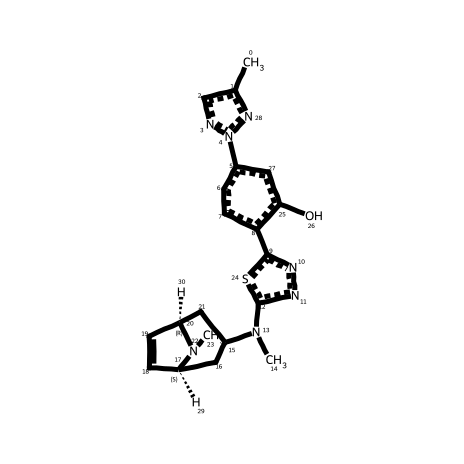 Cc1cnn(-c2ccc(-c3nnc(N(C)C4C[C@H]5C=C[C@@H](C4)N5C)s3)c(O)c2)n1